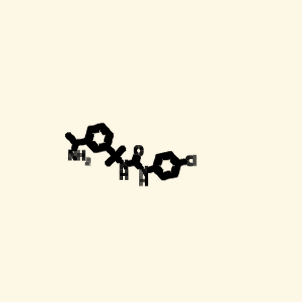 CC(N)c1cccc(C(C)(C)NC(=O)Nc2ccc(Cl)cc2)c1